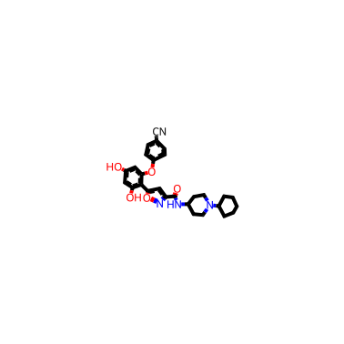 N#Cc1ccc(Oc2cc(O)cc(O)c2-c2cc(C(=O)NC3CCN(C4CCCCC4)CC3)no2)cc1